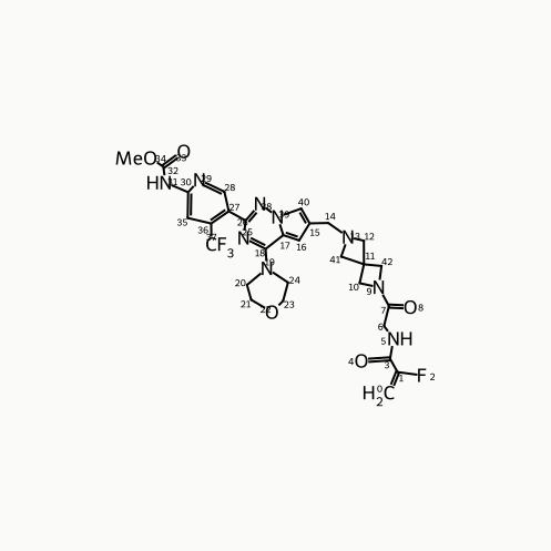 C=C(F)C(=O)NCC(=O)N1CC2(CN(Cc3cc4c(N5CCOCC5)nc(-c5cnc(NC(=O)OC)cc5C(F)(F)F)nn4c3)C2)C1